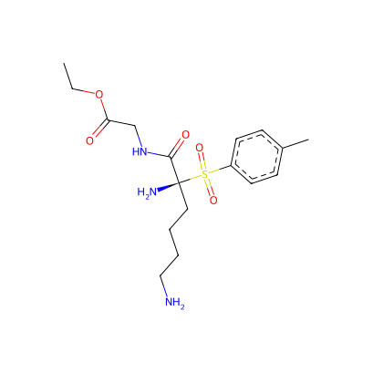 CCOC(=O)CNC(=O)[C@@](N)(CCCCN)S(=O)(=O)c1ccc(C)cc1